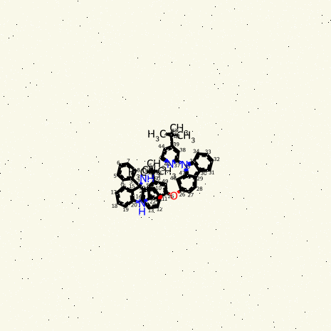 CNC(c1ccccc1)(c1ccccc1)c1ccccc1Nc1cc(Oc2ccc3c4ccccc4n(-c4cc(C(C)(C)C)ccn4)c3c2)cc(C(C)(C)C)c1